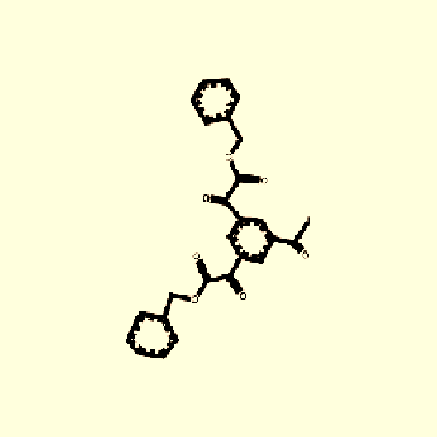 O=C(OCc1ccccc1)C(=O)c1cc(C(=O)I)cc(C(=O)C(=O)OCc2ccccc2)c1